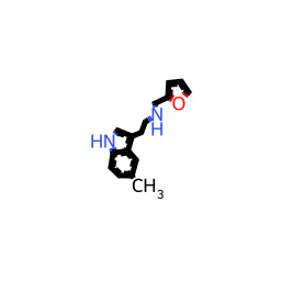 Cc1ccc2[nH]cc(CCNCc3ccco3)c2c1